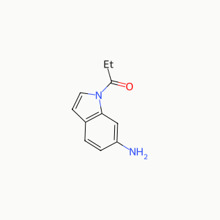 CCC(=O)n1ccc2ccc(N)cc21